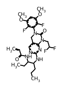 C=CC(=O)NC(CC)C(CCC)Nc1ncc2c(n1)N(CC(F)F)C(=O)N(c1c(F)c(OC)cc(OC)c1F)C2